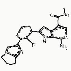 CNC(=O)c1cnc(N)c2[nH]c(-c3cccc(-c4cn5c(n4)CCC5)c3F)cc12